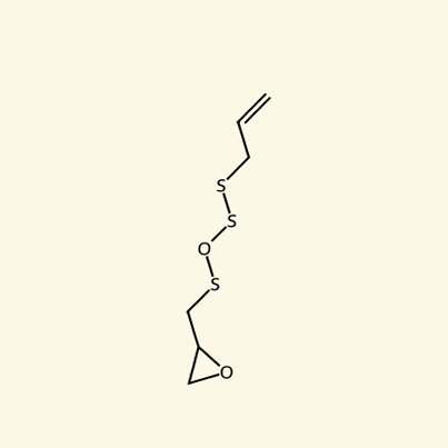 C=CCSSOSCC1CO1